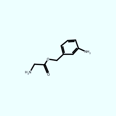 NCC(=O)OCc1cccc(N)c1